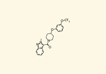 Cn1nc2ccccc2c1C(=O)N1CCC(Oc2cccc(OC(F)(F)F)c2)CC1